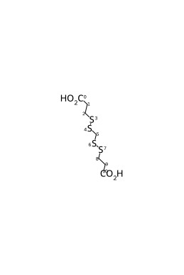 O=C(O)CCSSCSSCCC(=O)O